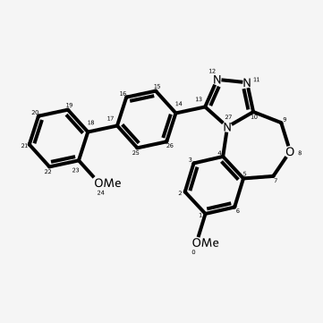 COc1ccc2c(c1)COCc1nnc(-c3ccc(-c4ccccc4OC)cc3)n1-2